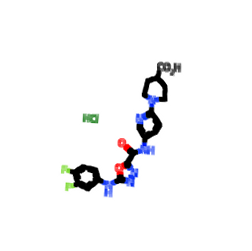 Cl.O=C(Nc1ccc(N2CCC(C(=O)O)CC2)nc1)c1nnc(Nc2ccc(F)c(F)c2)o1